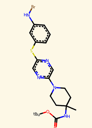 CC1(NC(=O)OC(C)(C)C)CCN(c2cnc(Sc3cccc(NBr)c3)cn2)CC1